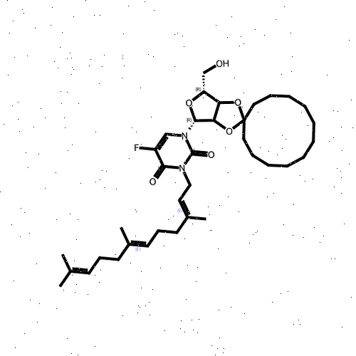 CC(C)=CCC/C(C)=C/CC/C(C)=C/Cn1c(=O)c(F)cn([C@@H]2O[C@H](CO)C3OC4(CCCCCCCCCCC4)OC32)c1=O